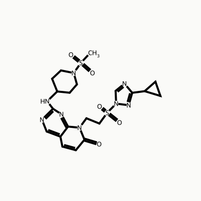 CS(=O)(=O)N1CCC(Nc2ncc3ccc(=O)n(CCS(=O)(=O)n4cnc(C5CC5)n4)c3n2)CC1